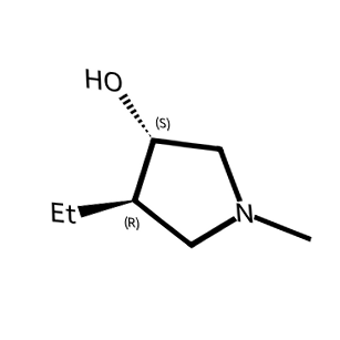 CC[C@@H]1CN(C)C[C@H]1O